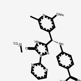 CC(=O)O.COc1cc([C@H](Nc2ccc(C(=N)N)cc2)c2nn(-c3ncccn3)c(=O)[nH]2)cc(C)n1